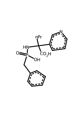 CCCC(NP(=O)(O)Cc1ccccc1)(C(=O)O)c1cccnc1